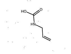 C=CCNC(=O)O